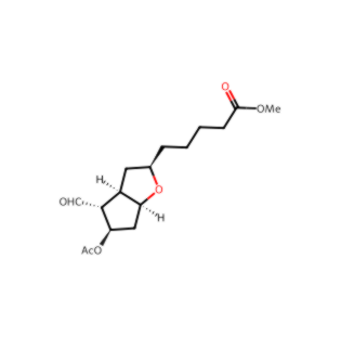 COC(=O)CCCC[C@@H]1C[C@@H]2[C@@H](C=O)[C@H](OC(C)=O)C[C@@H]2O1